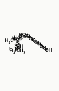 Cc1cn(-c2cc(CN3CCC[C@H](NC(=O)OC(C)(C)C)C3)cc(NC(=O)c3cc(-c4ccc(OCCOCCOCCOCCOCCOCCOCCO)cc4)ccn3)c2)cn1